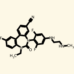 CCN1C(=O)N(c2c(F)cc(NCCNC)cc2F)c2cc(C#N)ccc2-c2cc(F)ccc21